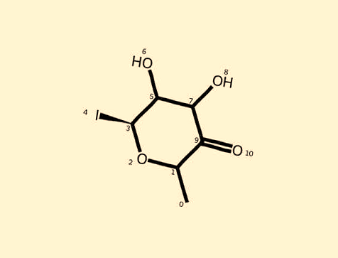 CC1O[C@@H](I)C(O)C(O)C1=O